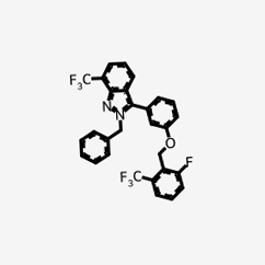 Fc1cccc(C(F)(F)F)c1COc1cccc(-c2c3cccc(C(F)(F)F)c3nn2Cc2ccccc2)c1